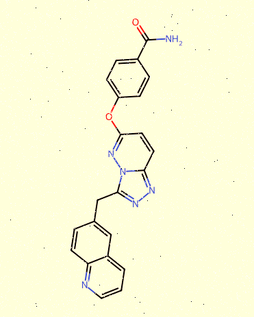 NC(=O)c1ccc(Oc2ccc3nnc(Cc4ccc5ncccc5c4)n3n2)cc1